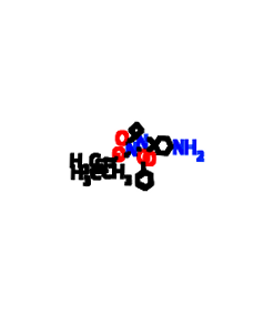 C[Si](C)(C)CCOCN1C(=O)N(CC2(COCc3ccccc3)CCC(N)CC2)C2(CCC2)C1=O